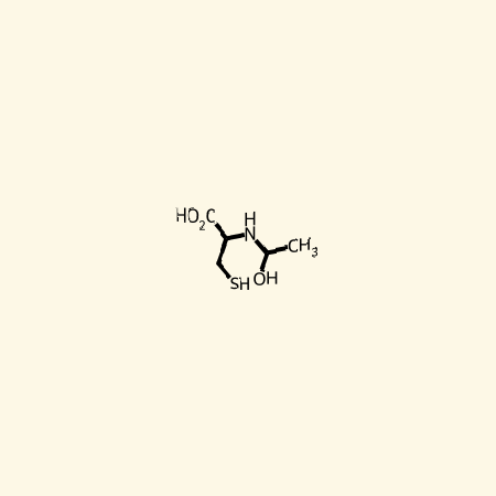 CC(O)NC(CS)C(=O)O